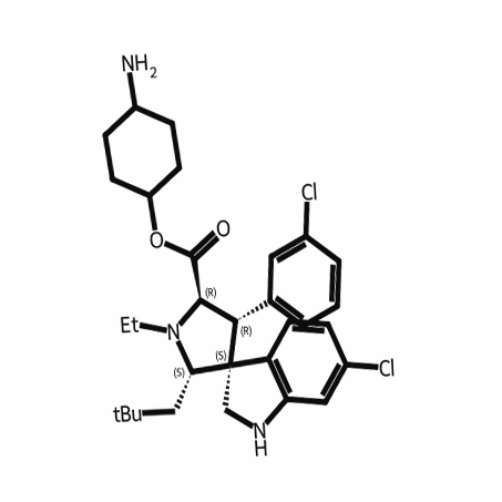 CCN1[C@@H](CC(C)(C)C)[C@@]2(CNc3cc(Cl)ccc32)[C@@H](c2cccc(Cl)c2)[C@@H]1C(=O)OC1CCC(N)CC1